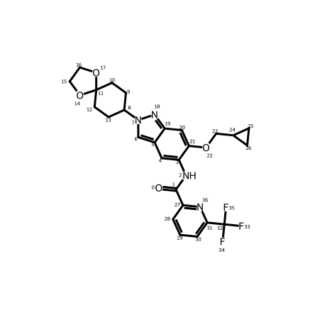 O=C(Nc1cc2cn(C3CCC4(CC3)OCCO4)nc2cc1OCC1CC1)c1cccc(C(F)(F)F)n1